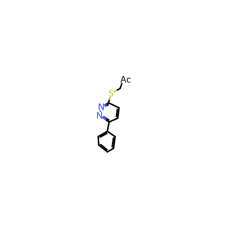 CC(=O)CSc1ccc(-c2ccccc2)nn1